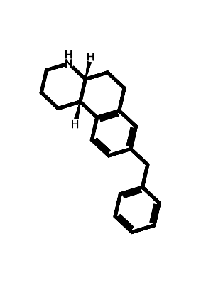 c1ccc(Cc2ccc3c(c2)CC[C@H]2NCCC[C@@H]32)cc1